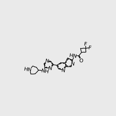 O=C(Nc1cc2cc(-c3cncc(NC4CCNCC4)n3)cnc2cn1)C1CC(F)(F)C1